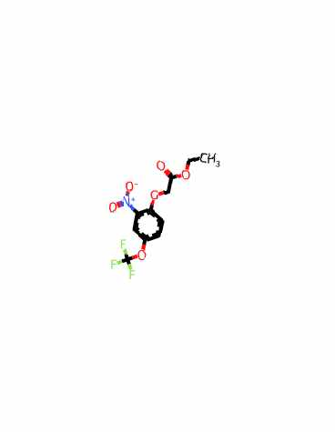 CCOC(=O)COc1ccc(OC(F)(F)F)cc1[N+](=O)[O-]